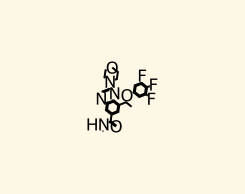 CNC(=O)c1cc(C(C)Oc2cc(F)c(F)c(F)c2)c2nc(N3CCOCC3)cnc2c1